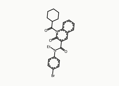 CCN(C(=O)c1cc2ccccc2n(C(=O)C2CCCCC2)c1=O)c1ccc(Br)cc1